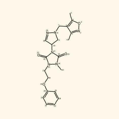 Cc1noc(C)c1CN1CC(n2c(=O)n(C)n(CCOc3ccccc3)c2=O)C=N1